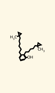 CC1(CCCCCCc2cccc(O)c2CCCCCC2(C)CC2)CC1